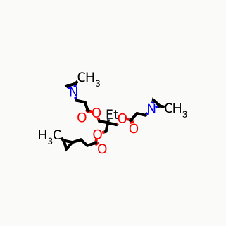 CCC(COC(=O)CCC1CC1C)(COC(=O)CCN1CC1C)COC(=O)CCN1CC1C